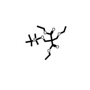 CCOCC(CO[Si](C)(C)C(C)(C)C)(C(=O)OCC)C(=O)OCC